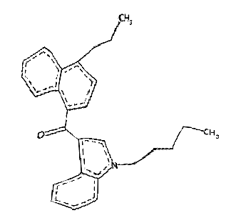 CCCCCn1cc(C(=O)c2ccc(CCC)c3ccccc23)c2ccccc21